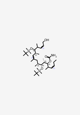 CC/C=C\C(C)[C@H](OC(N)=O)[C@@H](C)[C@H](O[Si](C)(C)C(C)(C)C)[C@@H](C)C/C(C)=C\[C@H](C)[C@@H](O[Si](C)(C)C(C)(C)C)C(C)/C=C\CO